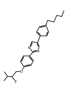 CCCCCc1ccc(-c2cnc(-c3ccc(OCC(F)C(C)C)cc3)nc2)cc1